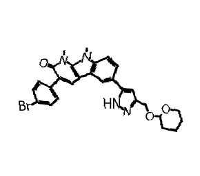 Cn1c(=O)c(-c2ccc(Br)cc2)cc2c3cc(-c4cc(COC5CCCCO5)n[nH]4)ccc3n(C)c21